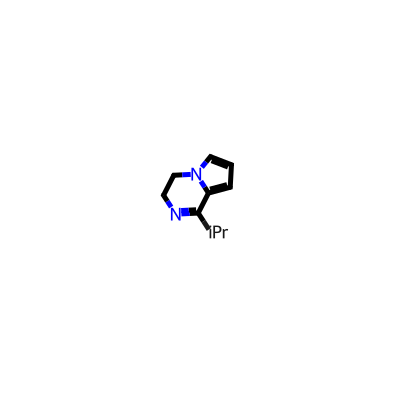 CC(C)C1=NCCn2cccc21